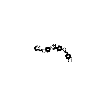 CN1CCCC1CCOc1ccc(-n2cnc(-c3ccc(OCCc4ccc(Cl)cc4)cc3)c2)cc1